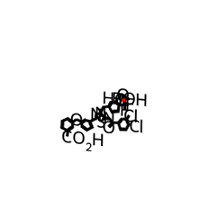 O=C(O)c1cccc(Oc2cccc(-c3nn(Cc4ccc(C(F)(F)P(=O)(O)O)c(Br)c4)c(=NC(=O)c4ccc(Cl)c(Cl)c4)s3)c2)c1